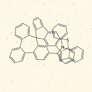 c1ccc(-n2c(-c3ccc4c(c3)C3(c5ccccc5-c5ccccc5-4)c4ccccc4-c4cc5sc6ccccc6c5cc43)nc3ccccc32)cc1